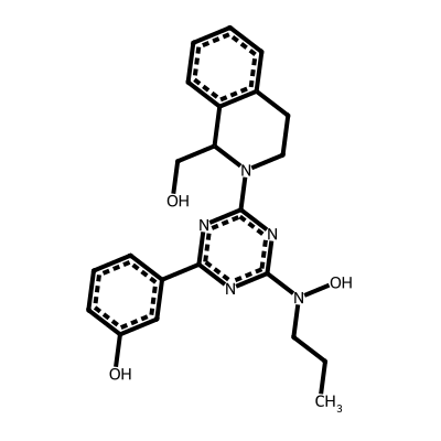 CCCN(O)c1nc(-c2cccc(O)c2)nc(N2CCc3ccccc3C2CO)n1